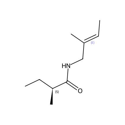 C/C=C(\C)CNC(=O)[C@@H](C)CC